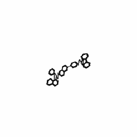 c1ccc(N(c2ccc3cc(-c4ccc(-n5c6ccccc6c6ccccc65)cc4)ccc3c2)c2cccc3ccccc23)cc1